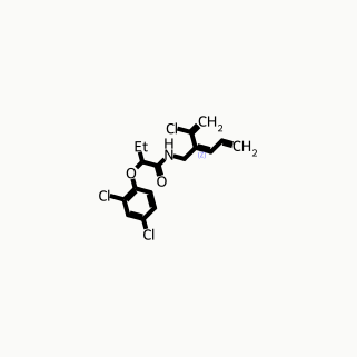 C=C/C=C(/CNC(=O)C(CC)Oc1ccc(Cl)cc1Cl)C(=C)Cl